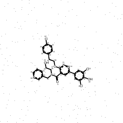 O=C(c1cc(-c2cc(Cl)c(O)c(Cl)c2)nnc1OCCc1ccc(Cl)cc1)N(CCO)Cc1cccnc1